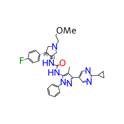 COCCN1C[C@@H](NC(=O)Nc2c(C)c(-c3cnc(C4CC4)nc3)nn2-c2ccccc2)[C@H](c2ccc(F)cc2)C1